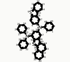 c1ccc(N(c2ccc3sc4ccccc4c3c2)c2cc(N(c3ccccc3)c3ccccc3)c3sc4c5ccccc5ccc4c3c2)cc1